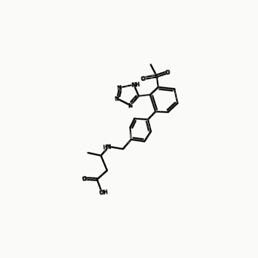 CC(CC(=O)O)NCc1ccc(-c2cccc(S(C)(=O)=O)c2-c2nnn[nH]2)cc1